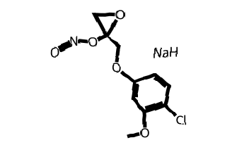 COc1cc(OC[C@@]2(ON=O)CO2)ccc1Cl.[NaH]